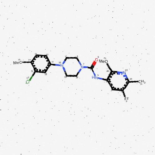 CCc1cc(NC(=O)N2CCN(c3ccc(OC)c(Cl)c3)CC2)c(OC)nc1C